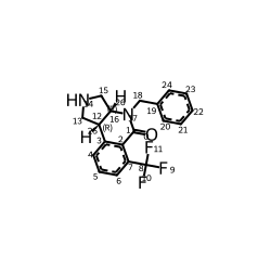 O=C1c2c(cccc2C(F)(F)F)[C@@H]2CNC[C@@H]2N1Cc1ccccc1